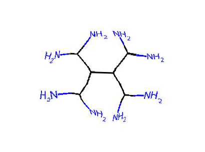 NC(N)C(C(N)N)C(C(N)N)C(N)N